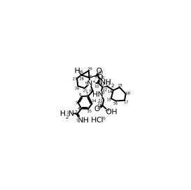 Cl.N=C(N)c1ccc(C[N+]2(C(=O)[C@@H](CC3CCCCC3)NCC(=O)O)CCC[C@@H]3C[C@@]32C(N)=O)cc1